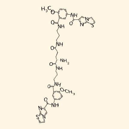 COc1ccc(NC(=O)c2cn3ccsc3n2)cc1C(=O)NCCCNC(=O)CC[C@H](N)C(=O)NCCCNC(=O)c1cc(NC(=O)c2cn3ccsc3n2)ccc1OC